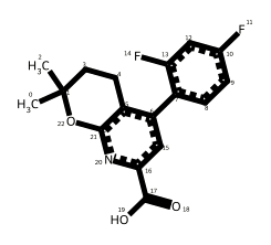 CC1(C)CCc2c(-c3ccc(F)cc3F)cc(C(=O)O)nc2O1